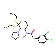 CCSC1(SCC)CCCC(N(C)C(=O)Cc2ccc(Cl)c(Cl)c2)C1N1CCCC1